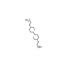 CCC[C@H]1CC[C@H]([C@H]2CC[C@H](CCO)CC2)CC1